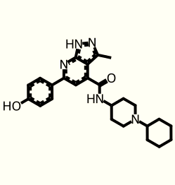 Cc1n[nH]c2nc(-c3ccc(O)cc3)cc(C(=O)NC3CCN(C4CCCCC4)CC3)c12